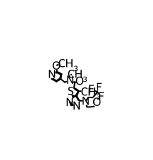 COc1cc(CN(C)C(=O)c2sc3ncnc(N4CCOC(C(F)(F)F)C4)c3c2C)ccn1